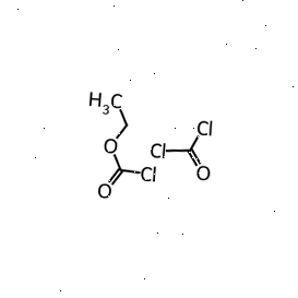 CCOC(=O)Cl.O=C(Cl)Cl